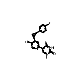 O=c1[nH]cc(-c2cc(C3CC3c3ccc(F)cc3)c(Cl)nn2)c(=O)[nH]1